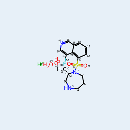 C[C@H]1CNCCCN1S(=O)(=O)c1cccc2cncc(F)c12.Cl.O.O